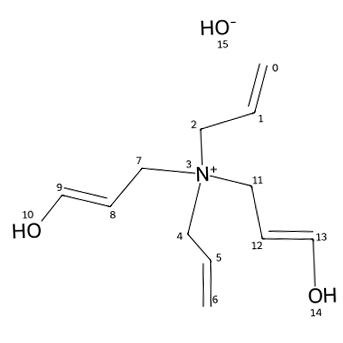 C=CC[N+](CC=C)(CC=CO)CC=CO.[OH-]